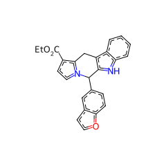 CCOC(=O)c1ccn2c1Cc1c([nH]c3ccccc13)C2c1ccc2occc2c1